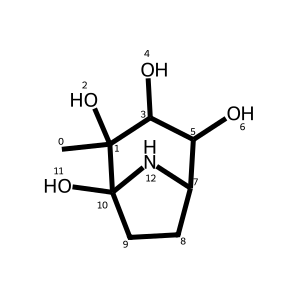 CC1(O)C(O)C(O)C2CCC1(O)N2